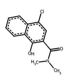 CN(C)C(=O)c1cc(Cl)c2ccccc2c1O